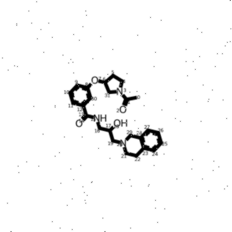 CC(=O)N1CCC(Oc2cccc(C(=O)NCC(O)CN3CCc4ccccc4C3)c2)C1